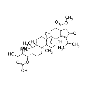 COC(=O)[C@@]12CC[C@]3(C)[C@H](CCC4[C@@]5(C)CC[C@H](C(OC(=O)O)C(O)CO)C(C)(C)[C@@H]5CC[C@]43C)C1=C(C(C)C)C(=O)C2